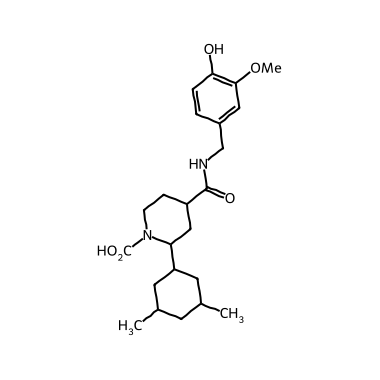 COc1cc(CNC(=O)C2CCN(C(=O)O)C(C3CC(C)CC(C)C3)C2)ccc1O